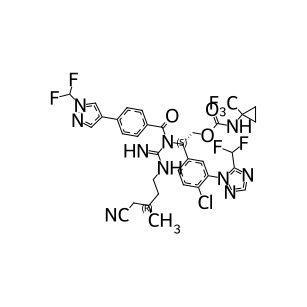 C[C@@H](CC#N)CCNC(=N)N(C(=O)c1ccc(-c2cnn(C(F)F)c2)cc1)[C@H](COC(=O)NC1(C(F)(F)F)CC1)c1ccc(Cl)c(-n2ncnc2C(F)F)c1